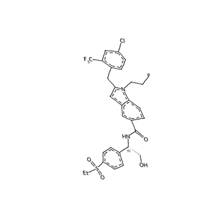 CCS(=O)(=O)c1ccc([C@@H](CO)NC(=O)c2ccc3c(c2)cc(Cc2ccc(Cl)cc2C(F)(F)F)n3CCF)cc1